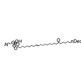 CCCCCCCCCCCCCCCC(=O)CCCCCCCCC=CCCCCCCCC(=O)OP(=O)(O)OCC[N+](C)(C)C